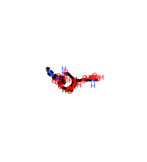 CC(=O)O[C@H]1[C@H](C)[C@H](O)[C@H](C)[C@@H](OC(=O)CCCOC(=O)CCCC(=O)NC(C=O)P(=O)(O)O)[C@@H](C)/C=C/C=C(/C)C(=O)Nc2c3oc4cc(N5CCN(CC(C)C)CC5)cc(O)c4nc-3c3c4c(c(C)c(O)c3c2=O)O[C@](C)(O/C=C/[C@H](C)[C@H]1C)C4=O